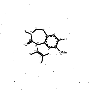 COc1cc2c(cc1Cl)CCN(C)C(=O)[C@H]2C(C)=C(C)C